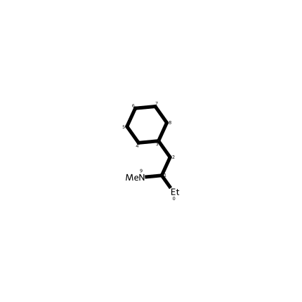 CCC(CC1CCCCC1)NC